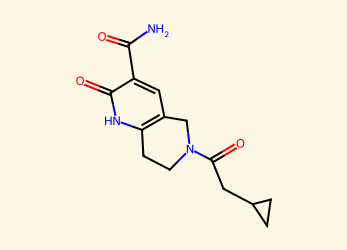 NC(=O)c1cc2c([nH]c1=O)CCN(C(=O)CC1CC1)C2